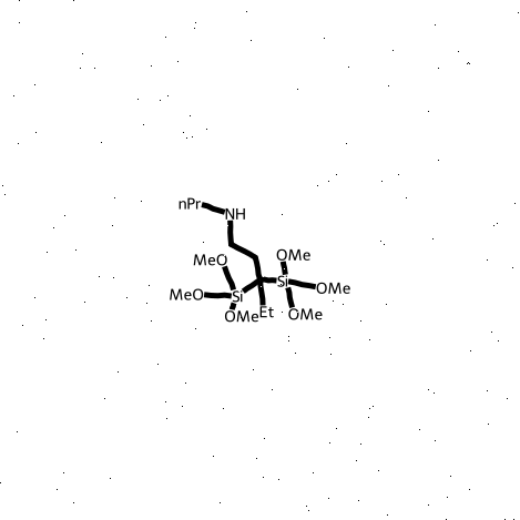 CCCNCCC(CC)([Si](OC)(OC)OC)[Si](OC)(OC)OC